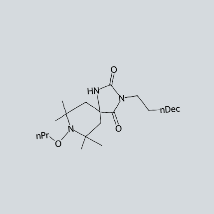 CCCCCCCCCCCCN1C(=O)NC2(CC(C)(C)N(OCCC)C(C)(C)C2)C1=O